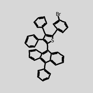 Brc1cccc(-c2sc(-c3c4ccccc4c(-c4ccccc4)c4ccccc34)c(-c3ccccc3)c2-c2ccccc2)c1